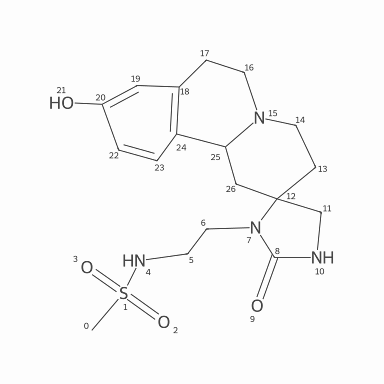 CS(=O)(=O)NCCN1C(=O)NCC12CCN1CCc3cc(O)ccc3C1C2